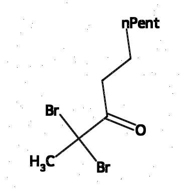 CCCCCCCC(=O)C(C)(Br)Br